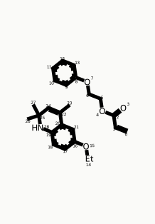 C=CC(=O)OCCOc1ccccc1.CCOc1ccc2c(c1)C(C)=CC(C)(C)N2